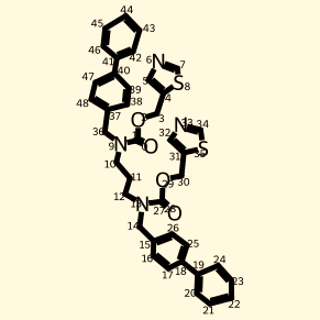 O=C(OCc1cncs1)N(CCCN(Cc1ccc(-c2ccccc2)cc1)C(=O)OCc1cncs1)Cc1ccc(-c2ccccc2)cc1